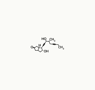 CCC#CC[C@H](C)[C@H](O)C#C[C@H]1[C@H](O)CC2CC(=O)C[C@@H]21